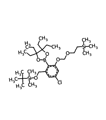 CCC1(CC)OB(c2c(CO[Si](C)(C)C(C)(C)C)cc(Cl)cc2OCOCC[Si](C)(C)C)OC1(CC)CC